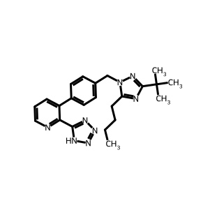 CCCCc1nc(C(C)(C)C)nn1Cc1ccc(-c2cccnc2-c2nnn[nH]2)cc1